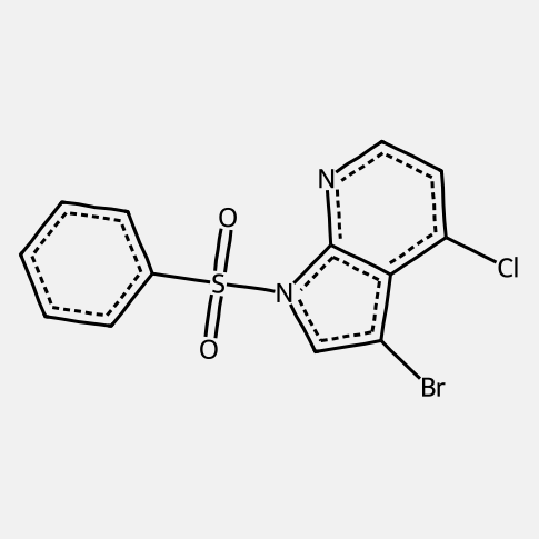 O=S(=O)(c1ccccc1)n1cc(Br)c2c(Cl)ccnc21